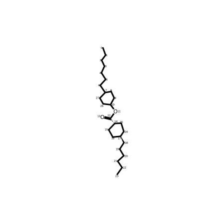 CCCCCCCC1CCC(OC(=O)[C@H]2CC[C@H](CCCCCC)CC2)CC1